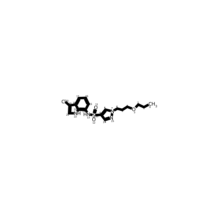 CCCOCCCn1cc(S(=O)(=O)Nc2cccc3c(Cl)c[nH]c23)cn1